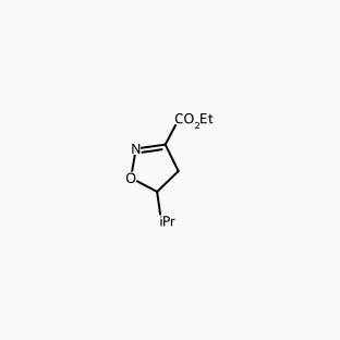 CCOC(=O)C1=NOC(C(C)C)C1